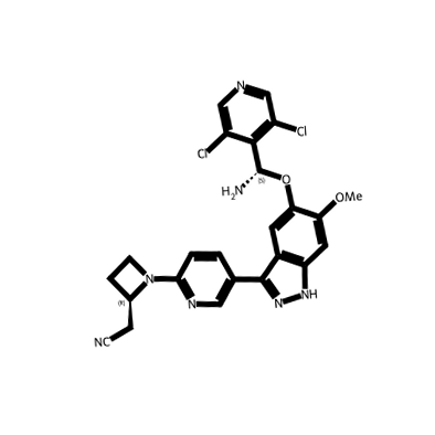 COc1cc2[nH]nc(-c3ccc(N4CC[C@@H]4CC#N)nc3)c2cc1O[C@H](N)c1c(Cl)cncc1Cl